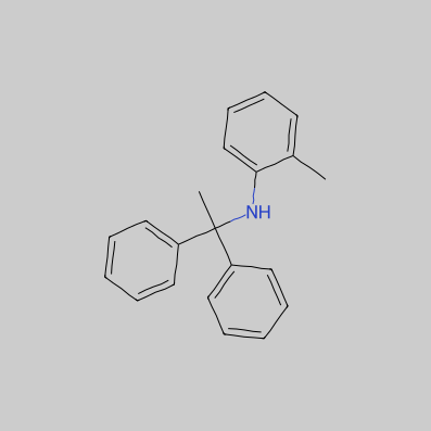 Cc1ccccc1NC(C)(c1ccccc1)c1ccccc1